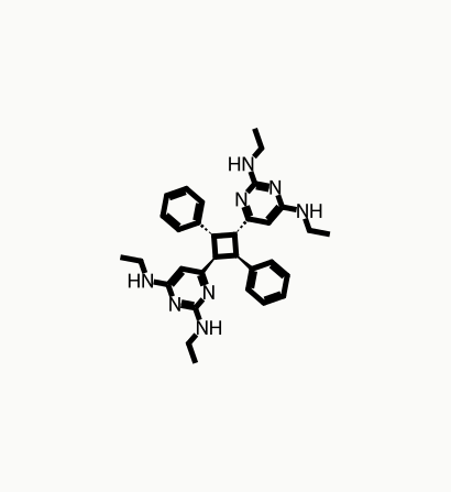 CCNc1cc([C@H]2[C@H](c3ccccc3)[C@H](c3cc(NCC)nc(NCC)n3)[C@H]2c2ccccc2)nc(NCC)n1